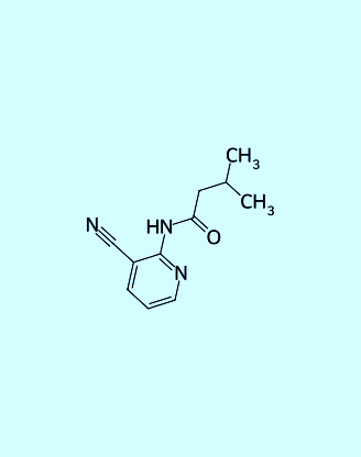 CC(C)CC(=O)Nc1ncccc1C#N